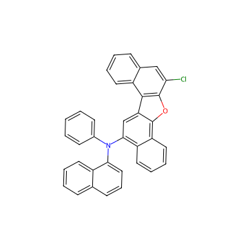 Clc1cc2ccccc2c2c1oc1c3ccccc3c(N(c3ccccc3)c3cccc4ccccc34)cc12